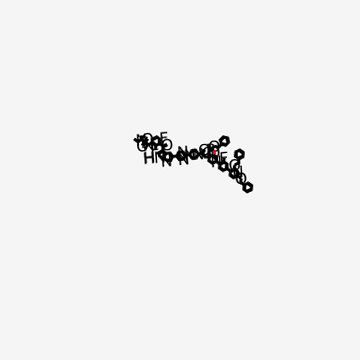 CCN(C)S(=O)(=O)Nc1ccc(F)c(C(=O)c2c[nH]c3ncc(-c4cnc(N5CCN(C(=O)CC6(OP(C)(=O)OCc7ccccc7)CCN(c7ccc(-c8ccc(OCc9ccccc9)nc8OCc8ccccc8)cc7F)CC6)CC5)nc4)cc23)c1F